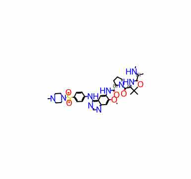 CN[C@@H](C)C(=O)N[C@H](C(=O)N1CCC[C@H]1C(=O)Nc1cc2c(Nc3ccc(S(=O)(=O)N4CCN(C)CC4)cc3)ncnc2cc1OC)C(C)(C)C